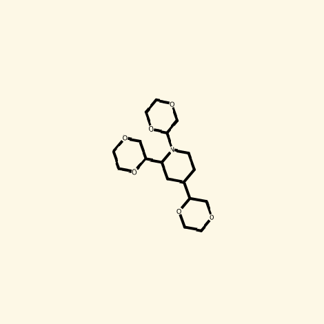 C1COC(C2CCN(C3COCCO3)C(C3COCCO3)C2)CO1